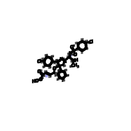 CN/C(=N\S(=O)(=O)c1ccc(Cl)cc1)N1CC(OC/C=C/C(=O)OO)(c2ccccc2)C(c2ccc(Cl)cc2)=N1